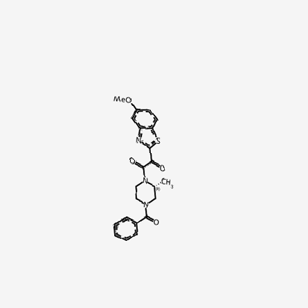 COc1ccc2sc(C(=O)C(=O)N3CCN(C(=O)c4ccccc4)C[C@H]3C)nc2c1